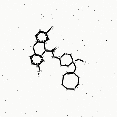 CC[N+]1(CC2=CCCCCCC2)CCC(NC(=O)C2c3cc(Cl)ccc3Oc3ccc(Cl)cc32)CC1.[I-]